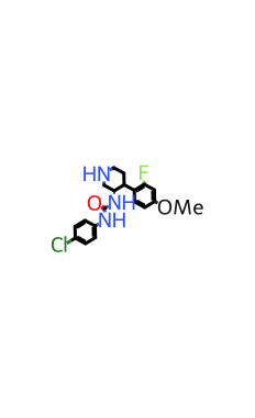 COc1ccc(C2CCNC[C@H]2NC(=O)Nc2ccc(Cl)cc2)c(F)c1